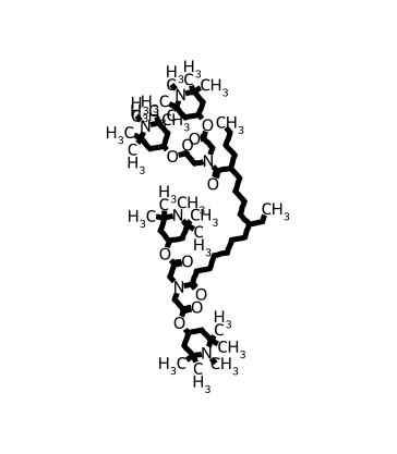 CCCCC(CCCCC(CC)CCCCCCC(=O)N(CC(=O)OC1CC(C)(C)N(C)C(C)(C)C1)CC(=O)OC1CC(C)(C)N(C)C(C)(C)C1)C(=O)N(CC(=O)OC1CC(C)(C)N(C)C(C)(C)C1)CC(=O)OC1CC(C)(C)N(C)C(C)(C)C1